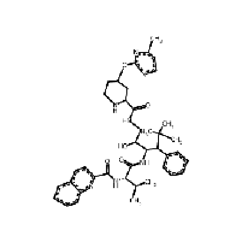 Cc1ccnc(OC2CCNC(C(=O)NCC(O)C(NC(=O)[C@@H](NC(=O)c3ccc4ccccc4n3)C(C)C)C(c3ccccc3)C(C)(C)C)C2)n1